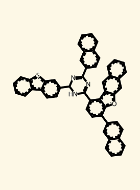 c1ccc2cc(C3=NC(c4ccc5c(c4)sc4ccccc45)NC(c4ccc(-c5ccc6ccccc6c5)c5oc6cc7ccccc7cc6c45)=N3)ccc2c1